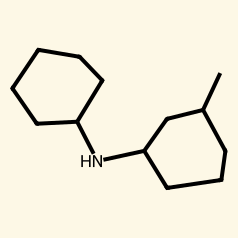 CC1CCCC(NC2CCCCC2)C1